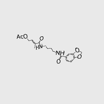 CC(=O)OC/C=C(\C)C(=O)NCCCCNC(=O)c1ccc2c(c1)OCO2